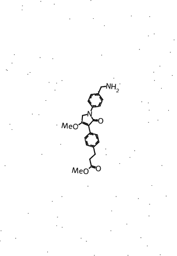 COC(=O)CCc1ccc(C2=C(OC)CN(c3ccc(CN)cc3)C2=O)cc1